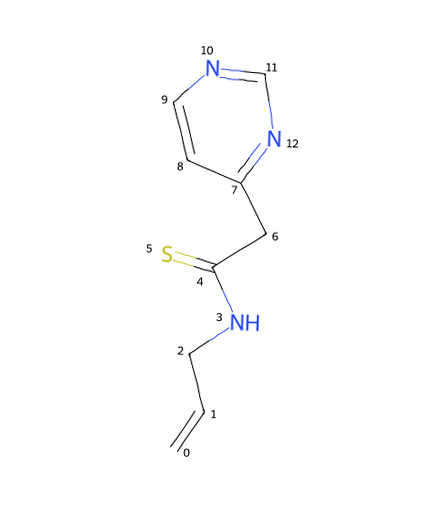 C=CCNC(=S)Cc1ccncn1